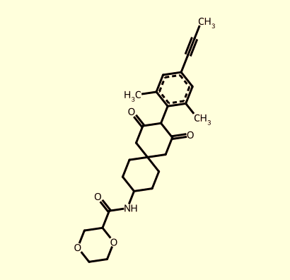 CC#Cc1cc(C)c(C2C(=O)CC3(CCC(NC(=O)C4COCCO4)CC3)CC2=O)c(C)c1